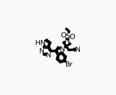 CCS(=O)(=O)N1CC(CC#N)(n2cc(-c3ncnc4[nH]ccc34)c3ccc(Br)cc32)C1